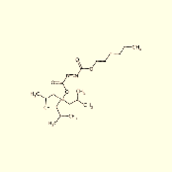 CCCCCCOC(=O)/N=N/C(=O)O[Si](CC(C)C)(CC(C)C)CC(C)C